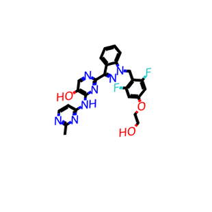 Cc1nccc(Nc2nc(-c3nn(Cc4c(F)cc(OCCO)cc4F)c4ccccc34)ncc2O)n1